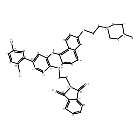 CN1CCN(CCOc2ccc3c(Nc4cc(-c5cc(Cl)ccc5F)nnc4OCCN4C(=O)c5ccccc5C4=O)ccnc3c2)CC1